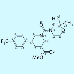 COC(=O)C1CC(c2ccc(C(F)(F)F)cc2)CN(C(=O)N2CCOC(C)(C)C2)C1